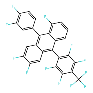 Fc1ccc(-c2c3cc(F)c(F)cc3c(-c3c(F)c(F)c(C(F)(F)F)c(F)c3F)c3cccc(F)c23)cc1F